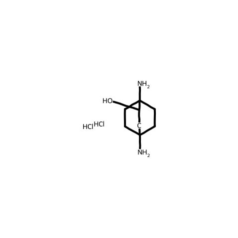 Cl.Cl.NC12CCC(N)(CC1)C(O)C2